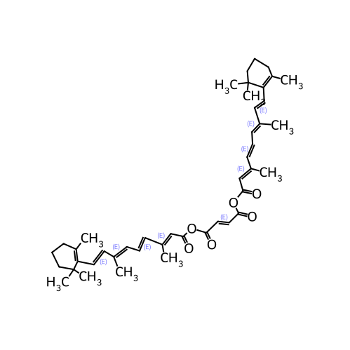 CC1=C(/C=C/C(C)=C/C=C/C(C)=C/C(=O)OC(=O)/C=C/C(=O)OC(=O)/C=C(C)/C=C/C=C(C)/C=C/C2=C(C)CCCC2(C)C)C(C)(C)CCC1